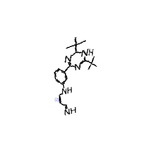 CC(C)(C)C1=NC(c2cccc(N/C=C\C=N)c2)=NC(C(C)(C)C)N1